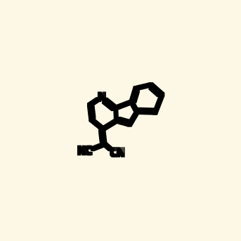 N#CC(C#N)=c1ccnc2c1=Cc1ccccc1-2